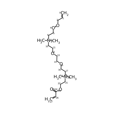 C=CCOOCC[N+](C)(C)CCOCCOCC[N+](C)(C)CCOC(=O)C=C